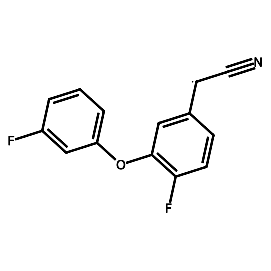 N#C[CH]c1ccc(F)c(Oc2cccc(F)c2)c1